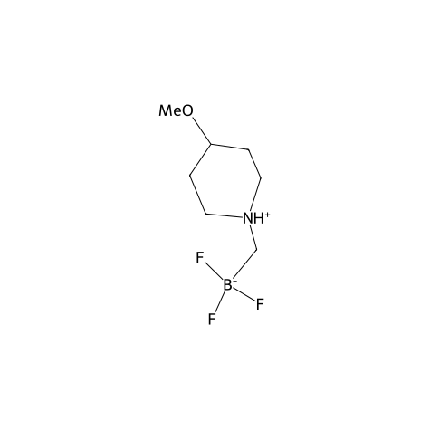 COC1CC[NH+](C[B-](F)(F)F)CC1